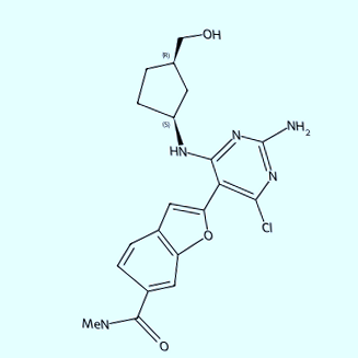 CNC(=O)c1ccc2cc(-c3c(Cl)nc(N)nc3N[C@H]3CC[C@@H](CO)C3)oc2c1